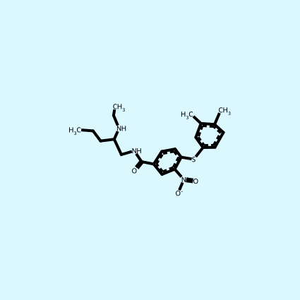 CCCC(CNC(=O)c1ccc(Sc2ccc(C)c(C)c2)c([N+](=O)[O-])c1)NCC